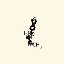 Cn1cc(-c2csc(NC(=O)c3ccc(N4CCOCC4)cc3)n2)cn1